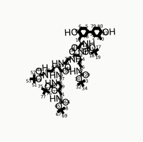 Cc1cc(-c2ccc(O)c(C[C@H](NC(=O)OC(C)(C)C)C(=O)N[C@@H](CCCNC(=O)OC(C)(C)C)C(=O)NCC(=O)N[C@@H](CCCNC(=O)OC(C)(C)C)C(=O)NC[C@H](CCCNC(=O)OC(C)(C)C)NC(=O)OC(C)(C)C)c2)ccc1O